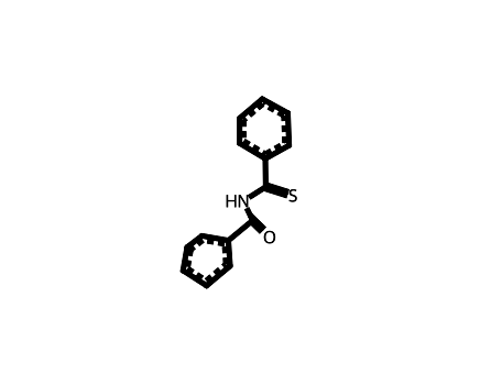 O=C(NC(=S)c1ccccc1)c1ccccc1